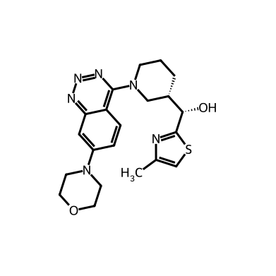 Cc1csc([C@@H](O)[C@H]2CCCN(c3nnnc4cc(N5CCOCC5)ccc34)C2)n1